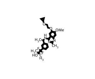 COc1cc2nc(C)nc(N[C@H](C)c3cccc(C(F)(F)C(C)(C)O)c3)c2cc1OCCOC1CC1